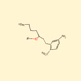 CCCCCCCCCCCCCC(CCc1cc([N+](=O)[O-])ccc1C(=O)O)OC(C)C